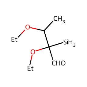 CCOC(C)C([SiH3])(C=O)OCC